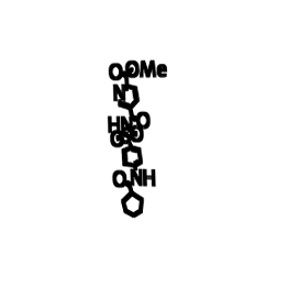 COC(=O)c1ccc(C(=O)NS(=O)(=O)c2ccc(NC(=O)C3CCCCC3)cc2)cn1